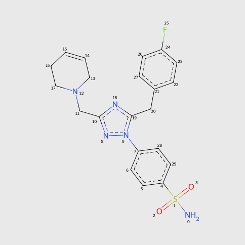 NS(=O)(=O)c1ccc(-n2nc(CN3CC=CCC3)nc2Cc2ccc(F)cc2)cc1